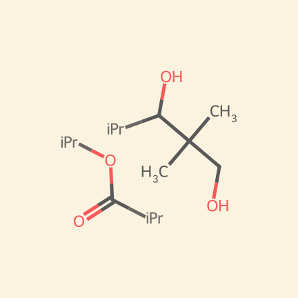 CC(C)C(O)C(C)(C)CO.CC(C)OC(=O)C(C)C